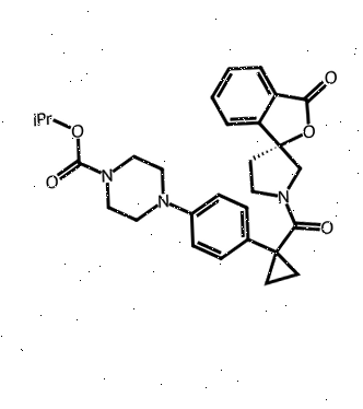 CC(C)OC(=O)N1CCN(c2ccc(C3(C(=O)N4CC[C@@]5(C4)OC(=O)c4ccccc45)CC3)cc2)CC1